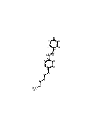 CCCCCCc1ccc(N=Nc2ccccc2)cc1